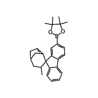 CC1CC2CC=C(C2)C12c1ccccc1-c1ccc(B3OC(C)(C)C(C)(C)O3)cc12